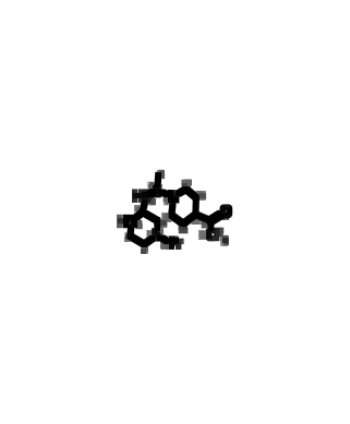 CC(C)N1CCNC([SH]=S(C)N2CCC(C(=O)C(F)(F)F)CC2)C1